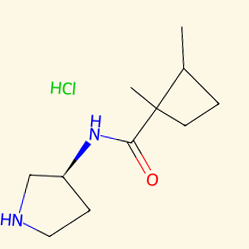 CC1CCC1(C)C(=O)N[C@H]1CCNC1.Cl